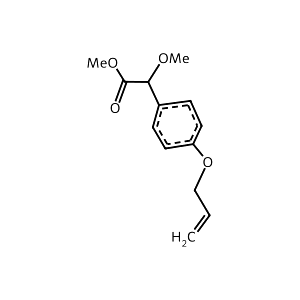 C=CCOc1ccc(C(OC)C(=O)OC)cc1